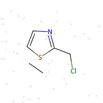 CC.ClCc1nccs1